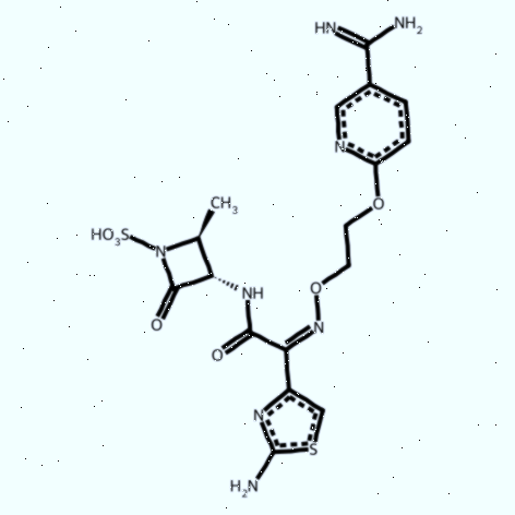 C[C@H]1[C@H](NC(=O)C(=NOCCOc2ccc(C(=N)N)cn2)c2csc(N)n2)C(=O)N1S(=O)(=O)O